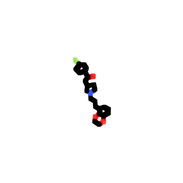 O=C(CC1CCN(CCCc2cccc3c2OCCO3)C1)c1ccc(F)cc1